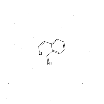 CC/C=C\c1ccccc1C=N